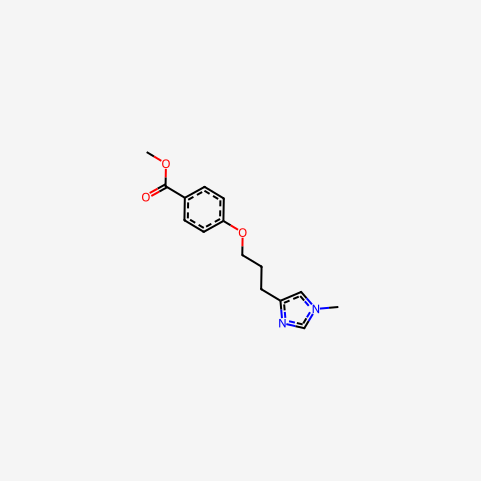 COC(=O)c1ccc(OCCCc2cn(C)cn2)cc1